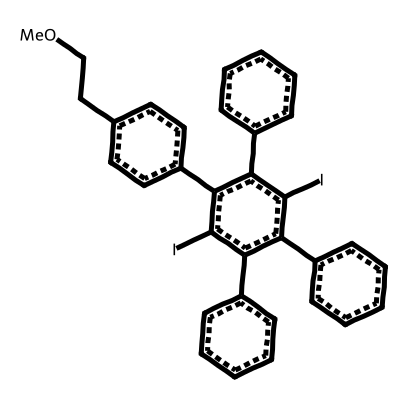 COCCc1ccc(-c2c(I)c(-c3ccccc3)c(-c3ccccc3)c(I)c2-c2ccccc2)cc1